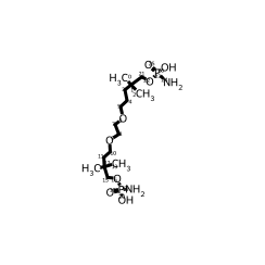 CC(C)(CCCOCCOCCC(C)(C)COP(N)(=O)O)COP(N)(=O)O